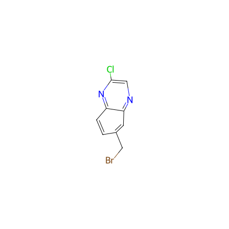 Clc1cnc2cc(CBr)ccc2n1